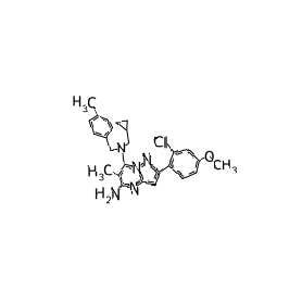 COc1ccc(-c2cc3nc(N)c(C)c(N(Cc4ccc(C)cc4)CC4CC4)n3n2)c(Cl)c1